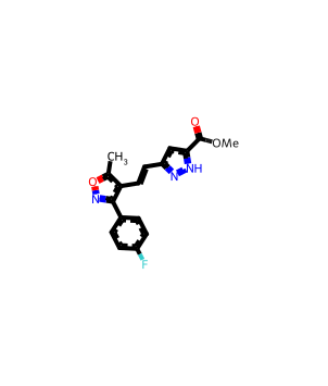 COC(=O)c1cc(C=Cc2c(-c3ccc(F)cc3)noc2C)n[nH]1